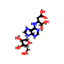 O=C(O)CC(Nc1ncnc2c1ncn2[C@@H]1O[C@H](CO)C(O)C1O)C(=O)O